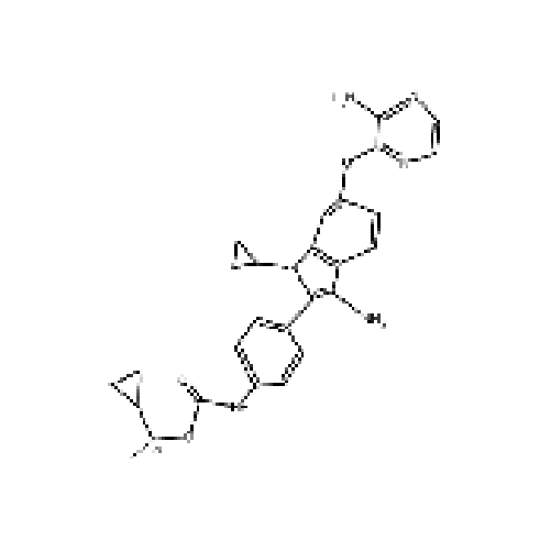 C[C@@H](OC(=O)Nc1ccc(-c2c(N)c3ccc(Oc4nccnc4N)cc3n2C2CC2)cc1)C1CC1